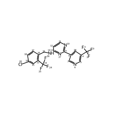 FC(F)(F)c1cncc(-c2nccc(NCc3ccc(Cl)cc3C(F)(F)F)n2)c1